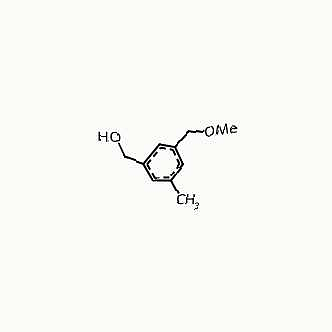 COCc1cc(C)cc(CO)c1